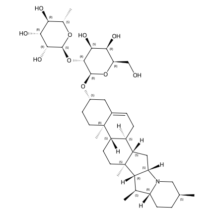 C[C@H]1CC[C@@H]2[C@@H](C)[C@H]3[C@H](C[C@H]4[C@@H]5CC=C6C[C@@H](O[C@@H]7O[C@H](CO)[C@H](O)[C@H](O)[C@H]7O[C@@H]7O[C@@H](C)[C@H](O)[C@@H](O)[C@H]7O)CC[C@]6(C)[C@H]5CC[C@]34C)N2C1